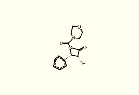 O=C1[C@H](O)[C@H](c2ccccc2)N1C(=O)N1CCOCC1